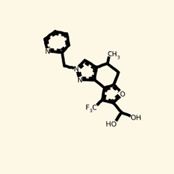 CC1Cc2oc(C(O)O)c(C(F)(F)F)c2-c2nn(Cc3ccccn3)cc21